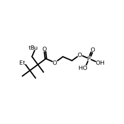 CCC(C)(C)C(C)(CC(C)(C)C)C(=O)OCCOP(=O)(O)O